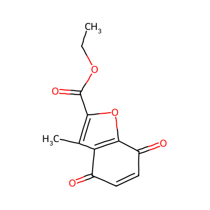 CCOC(=O)c1oc2c(c1C)C(=O)C=CC2=O